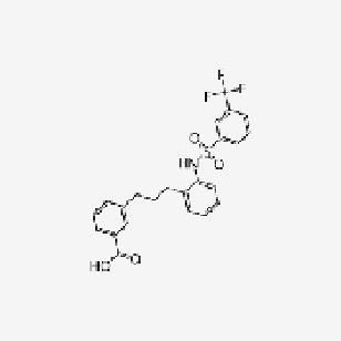 O=C(O)c1cccc(CCCc2ccccc2NS(=O)(=O)c2cccc(C(F)(F)F)c2)c1